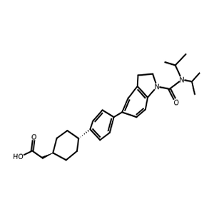 CC(C)N(C(=O)N1CCc2cc(-c3ccc([C@H]4CC[C@H](CC(=O)O)CC4)cc3)ccc21)C(C)C